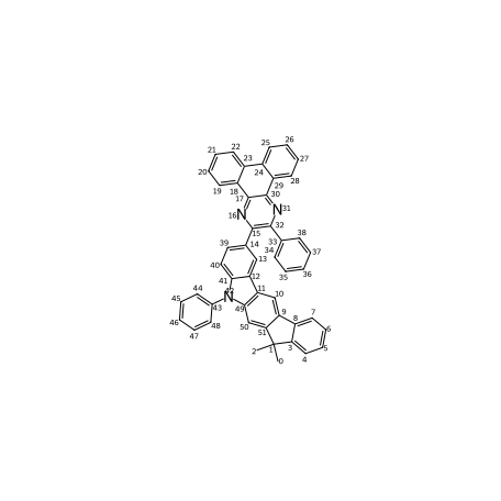 CC1(C)c2ccccc2-c2cc3c4cc(-c5nc6c7ccccc7c7ccccc7c6nc5-c5ccccc5)ccc4n(-c4ccccc4)c3cc21